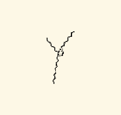 CCCCCCCCCCN1C=CN(CCCCCCCC)C1CCCCCC